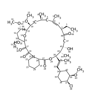 CC[C@@H]1/C=C(/C)C[C@H](C)C[C@H](OC)[C@H]2O[C@@](O)(C(=O)C(=O)N3CCCCC3C(=O)O[C@H](/C(C)=C/[C@@H]3CC[C@H](Cl)[C@H](OC)C3)[C@@H](C)[C@@H](O)CC1=O)[C@H](C)C[C@@H]2OC